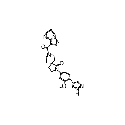 COc1cc(N2CCC3(CCN(C(=O)c4cnn5cccnc45)CC3)C2=O)ccc1-c1cn[nH]c1